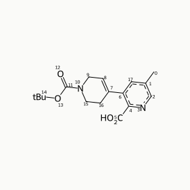 Cc1cnc(C(=O)O)c(C2=CCN(C(=O)OC(C)(C)C)CC2)c1